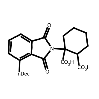 CCCCCCCCCCc1cccc2c1C(=O)N(C1(C(=O)O)CCCCC1C(=O)O)C2=O